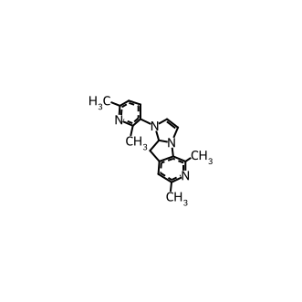 Cc1ccc(N2C=CN3c4c(cc(C)nc4C)CC23)c(C)n1